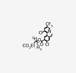 [2H][C@](C)(CC(=O)OCC)OC(=O)c1cc(-c2ncc(C(F)(F)F)cc2Cl)c(F)cc1Cl